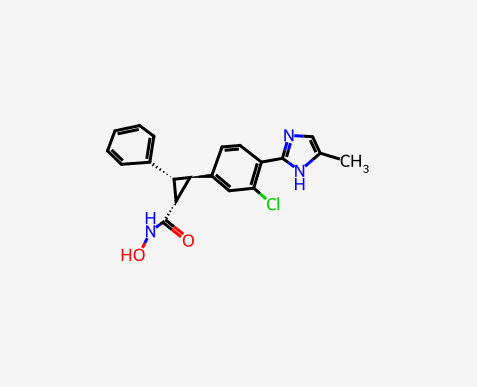 Cc1cnc(-c2ccc([C@H]3[C@H](C(=O)NO)[C@@H]3c3ccccc3)cc2Cl)[nH]1